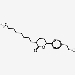 CCCCCCCCC1CCC(c2ccc(CCC)cc2)OC1=O